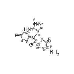 Cn1ncc2c1Nc1cc(F)ccc1N(C(=O)c1ccc(CN)c(F)c1)C2